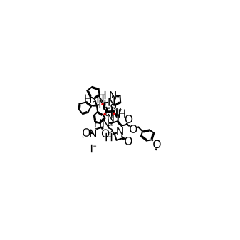 CON=CC(=O)NC1(N2C=C(NC(c3ccccc3)(c3ccccc3)c3ccccc3)SN2)S[C@H]2CC(=O)N2C(C(=O)OCc2ccc(OC)cc2)=C1C[n+]1ccc(N)n2nccc21.[I-]